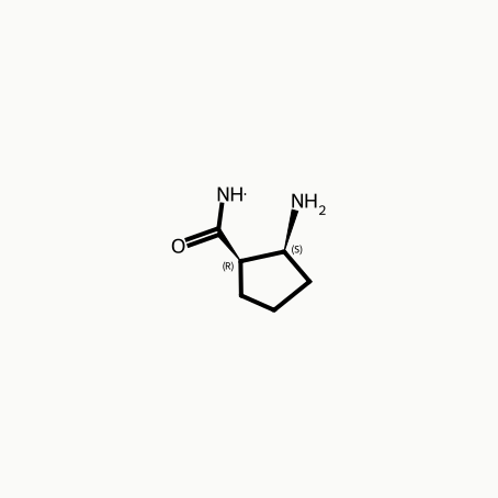 [NH]C(=O)[C@@H]1CCC[C@@H]1N